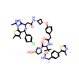 Cc1ncsc1-c1ccc([C@H](C)NC(=O)[C@@H]2C[C@@H](O)CN2C(=O)[C@@H](NC(=O)Cc2ccc(O[C@H]3C[C@@H](NC(=O)CC4N=C(c5ccc(Cl)cc5)c5c(sc(C)c5C)-n5c(C)nnc54)C3)cc2)C(C)(C)C)cc1